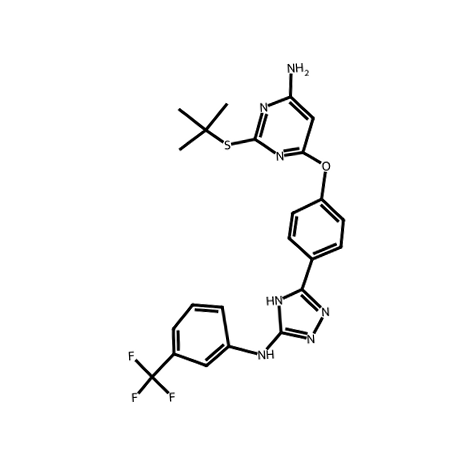 CC(C)(C)Sc1nc(N)cc(Oc2ccc(-c3nnc(Nc4cccc(C(F)(F)F)c4)[nH]3)cc2)n1